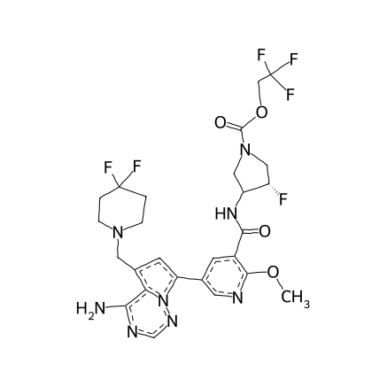 COc1ncc(-c2cc(CN3CCC(F)(F)CC3)c3c(N)ncnn23)cc1C(=O)NC1CN(C(=O)OCC(F)(F)F)C[C@@H]1F